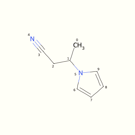 CC(CC#N)n1cccc1